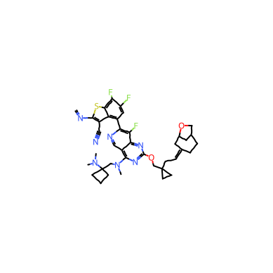 C=Nc1sc2c(F)c(F)cc(-c3ncc4c(N(C)CC5(N(C)C)CCC5)nc(OCC5(C/C=C6/CCC7COC(C6)C7)CC5)nc4c3F)c2c1C#N